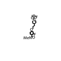 CNC(=O)c1ccc(OCCCC2CCN(C(=O)OC(C)(C)C)CC2)cc1F